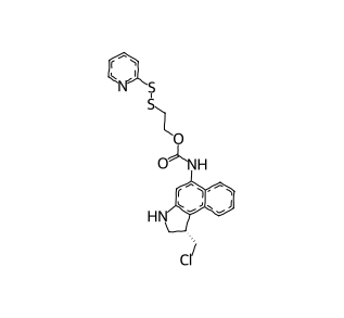 O=C(Nc1cc2c(c3ccccc13)[C@H](CCl)CN2)OCCSSc1ccccn1